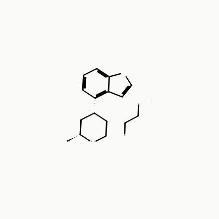 C[C@H]1C[C@H](c2cccc3sccc23)CCN1.O=C(O)CCC(=O)O